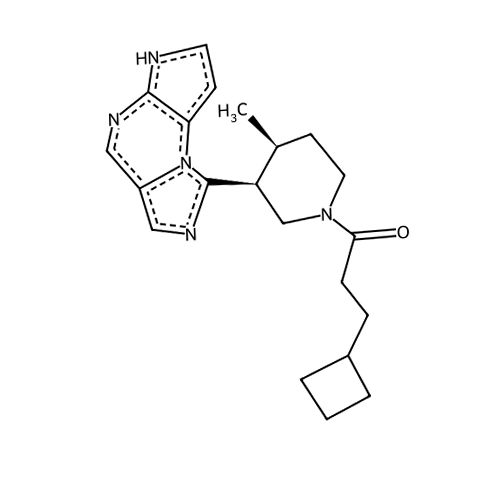 C[C@H]1CCN(C(=O)CCC2CCC2)C[C@H]1c1ncc2cnc3[nH]ccc3n12